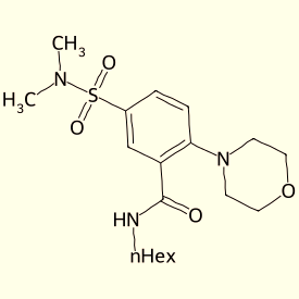 CCCCCCNC(=O)c1cc(S(=O)(=O)N(C)C)ccc1N1CCOCC1